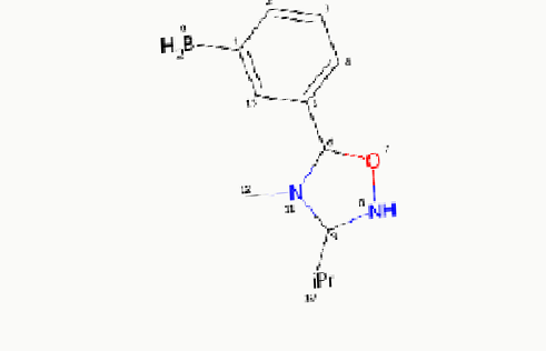 Bc1cccc(C2ONC(C(C)C)N2C)c1